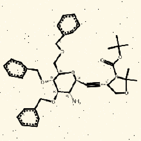 CC(C)(C)OC(=O)N1[C@@H](C#C[C@@H]2O[C@H](COCc3ccccc3)[C@@H](OCc3ccccc3)[C@H](OCc3ccccc3)[C@H]2N)COC1(C)C